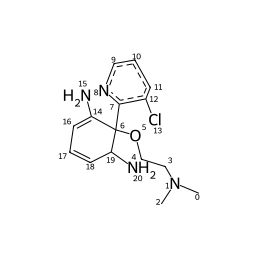 CN(C)CCOC1(c2ncccc2Cl)C(N)=CC=CC1N